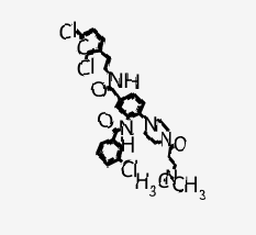 CN(C)CCC(=O)N1CCN(c2ccc(C(=O)NCCc3ccc(Cl)cc3Cl)cc2NC(=O)c2cccc(Cl)c2)CC1